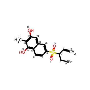 C=CC(CC(C)C)S(=O)(=O)c1ccc2c(O)c(C)c(O)cc2c1